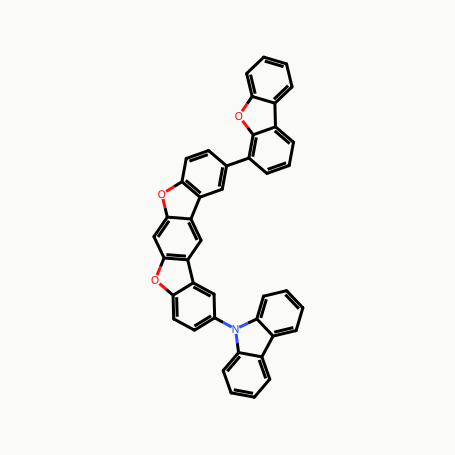 c1ccc2c(c1)oc1c(-c3ccc4oc5cc6oc7ccc(-n8c9ccccc9c9ccccc98)cc7c6cc5c4c3)cccc12